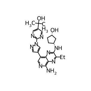 CCc1nc2c(N)ncc(-c3cnn(-c4ncc(C(C)(C)O)cn4)c3)c2nc1N[C@@H]1CC[C@H](O)C1